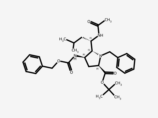 CC(=O)N[C@@H](CC(C)C)[C@H]1[C@H](NC(=O)OCc2ccccc2)C[C@H](C(=O)OC(C)(C)C)N1Cc1ccccc1